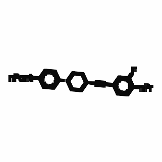 CCCCCc1ccc([C@H]2CC[C@H](C#Cc3ccc(CCC)c(F)c3)CC2)cc1